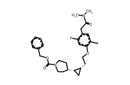 CN(C)C(=O)Cc1cc(F)c(OCC[C@@H]2C[C@@H]2C2CCN(C(=O)OCc3ccccc3)CC2)cc1F